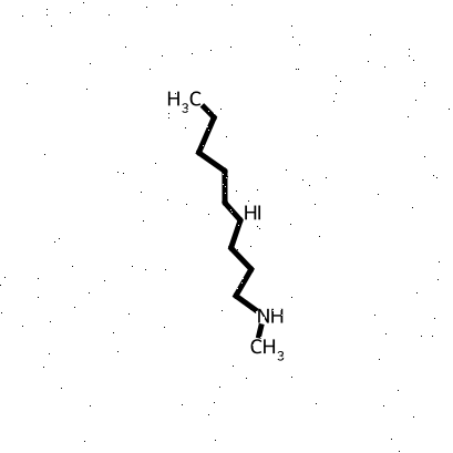 CCCCCCCCCNC.I